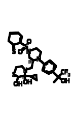 CC(O)(c1ccc(N2CCN(S(=O)(=O)C3=CC=CCC3=S)C[C@@H]2CN2CCSC(O)[C@@]2(O)C2CC2)cc1)C(F)(F)F